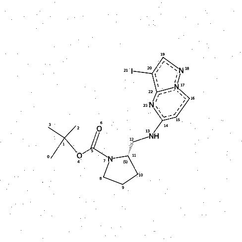 CC(C)(C)OC(=O)N1CCC[C@H]1CNc1ccn2ncc(I)c2n1